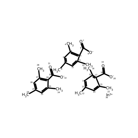 Cc1cc(C)c(C(=O)[O-])c(C)c1.Cc1cc(C)c(C(=O)[O-])c(C)c1.Cc1cc(C)c(C(=O)[O-])c(C)c1.[In+3]